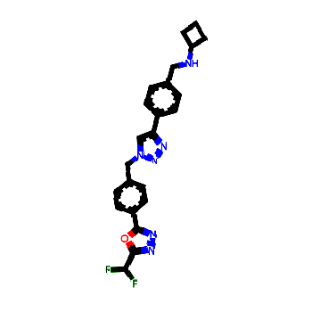 FC(F)c1nnc(-c2ccc(Cn3cc(-c4ccc(CNC5CCC5)cc4)nn3)cc2)o1